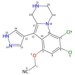 N#CCOc1cc(Cl)c(Cl)c2c1c(-c1cn[nH]c1)c1n2CCNC1